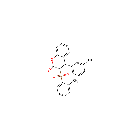 Cc1cccc(C2c3ccccc3OC(=O)C2S(=O)(=O)c2ccccc2C)c1